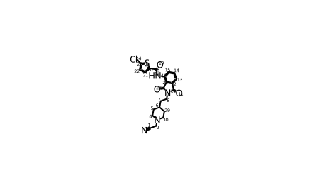 N#CCN1CCC(CCN2C(=O)c3cccc(NC(=O)c4ccc(Cl)s4)c3C2=O)CC1